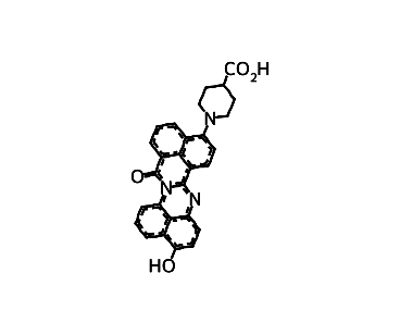 O=C(O)C1CCN(c2ccc3c4c2cccc4c(=O)n2c4cccc5c(O)ccc(nc32)c54)CC1